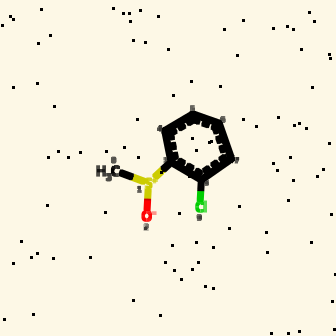 C[S+]([O-])c1ccc[c]c1Cl